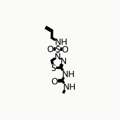 C=CCNS(=O)(=O)N1CSC(NC(=O)NC)=N1